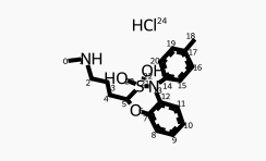 CNCCCC1Oc2ccccc2N(c2ccc(C)cc2)S1(O)O.Cl